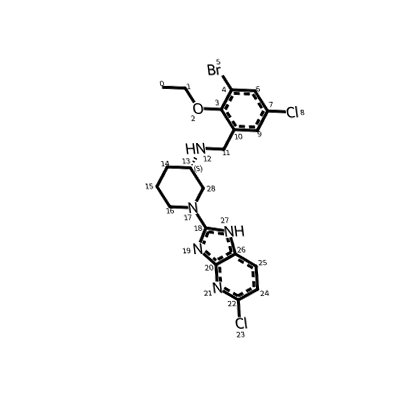 CCOc1c(Br)cc(Cl)cc1CN[C@H]1CCCN(c2nc3nc(Cl)ccc3[nH]2)C1